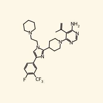 C=C(C)c1c(N)ncnc1N1CCC(c2nc(-c3ccc(F)c(C(F)(F)F)c3)cn2CCN2CCCCC2)CC1